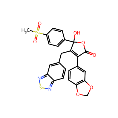 CS(=O)(=O)c1ccc(C2(O)OC(=O)C(c3ccc4c(c3)OCO4)=C2Cc2ccc3nsnc3c2)cc1